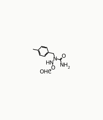 Cc1ccc(CN(NOC=O)C(N)=O)cc1